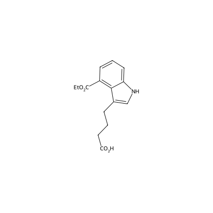 CCOC(=O)c1cccc2[nH]cc(CCCC(=O)O)c12